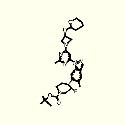 Cc1nc(N2CC(OC3CCCCO3)C2)cc(-n2ncc3cc(C)c([C@@H]4CCN(C(=O)OC(C)(C)C)C[C@@H]4F)cc32)n1